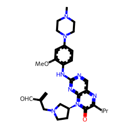 C=C(C=O)CN1CC[C@H](n2c(=O)c(C(C)C)nc3cnc(Nc4ccc(N5CCN(C)CC5)cc4OC)nc32)C1